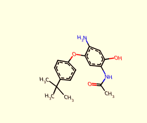 CC(=O)Nc1cc(Oc2ccc(C(C)(C)C)cc2)c(N)cc1O